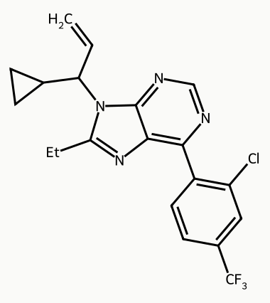 C=CC(C1CC1)n1c(CC)nc2c(-c3ccc(C(F)(F)F)cc3Cl)ncnc21